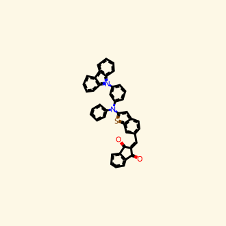 O=C1C(=Cc2ccc3cc(N(c4ccccc4)c4cccc(-n5c6ccccc6c6ccccc65)c4)sc3c2)C(=O)c2ccccc21